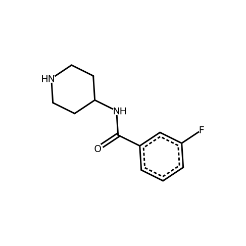 O=C(NC1CCNCC1)c1cccc(F)c1